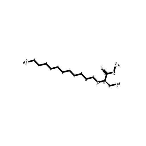 CCCCCCCCCCCCO[C@H](CO)C(=O)OC